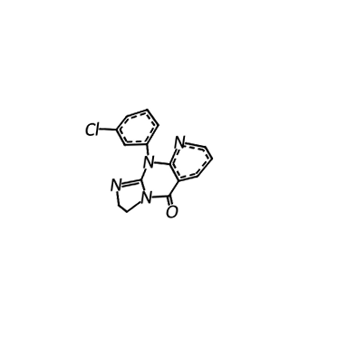 O=C1c2cccnc2N(c2cccc(Cl)c2)C2=NCCN12